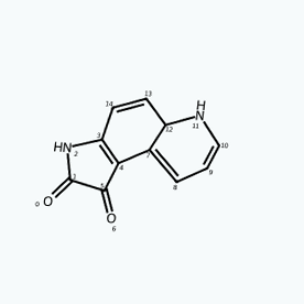 O=C1NC2=C(C1=O)C1=CC=CNC1C=C2